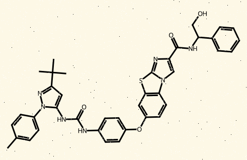 Cc1ccc(-n2nc(C(C)(C)C)cc2NC(=O)Nc2ccc(Oc3ccc4c(c3)sc3nc(C(=O)NC(CO)c5ccccc5)cn34)cc2)cc1